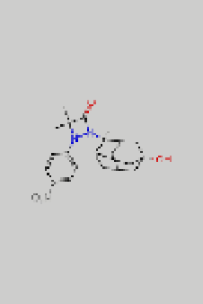 CC1(C)C(=O)N([C@H]2C3CC4CC2C[C@](O)(C4)C3)N1c1ccc([N+](=O)[O-])cc1